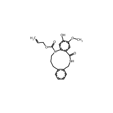 C=CCOC(=O)N1CCCc2ccccc2CNC(=O)c2cc(OC)c(O)cc21